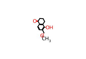 COCc1ccc2c(c1O)CCCC2=O